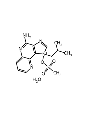 CC(C)C[N+]1(OS(C)(=O)=O)C=Nc2c(N)nc3cccnc3c21.O